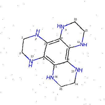 C1CNc2c(c3c(c4c2NCCN4)NCCN3)N1